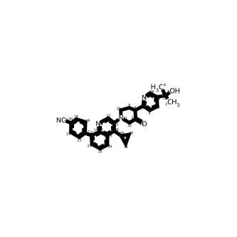 CC(C)(O)c1ccc(C2CCN(c3cnc4c(-c5ccc(C#N)cc5)cccc4c3C3CC3)CC2=O)nc1